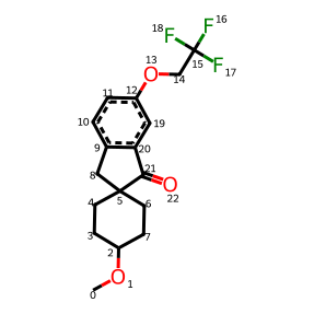 COC1CCC2(CC1)Cc1ccc(OCC(F)(F)F)cc1C2=O